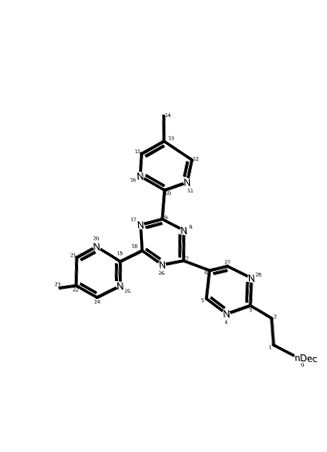 CCCCCCCCCCCCc1ncc(-c2nc(-c3ncc(C)cn3)nc(-c3ncc(C)cn3)n2)cn1